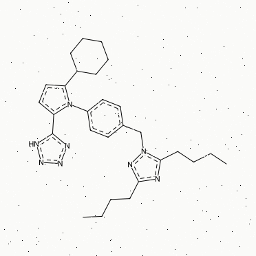 CCCCc1nc(CCCC)n(Cc2ccc(-n3c(-c4nnn[nH]4)ccc3C3CCCCC3)cc2)n1